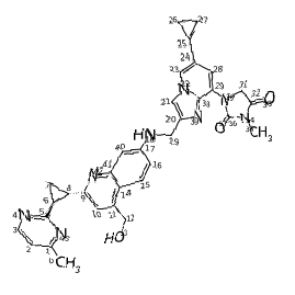 Cc1ccnc([C@H]2C[C@@H]2c2cc(CO)c3ccc(NCc4cn5cc(C6CC6)cc(N6CC(=O)N(C)C6=O)c5n4)cc3n2)n1